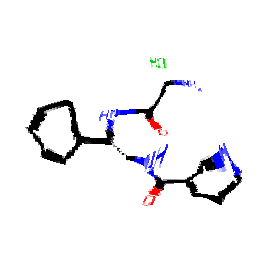 Cl.NCC(=O)N[C@H](CNC(=O)c1cccnc1)c1ccccc1